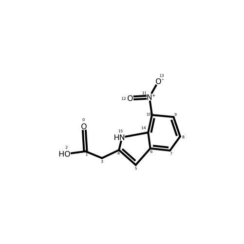 O=C(O)Cc1cc2cccc([N+](=O)[O-])c2[nH]1